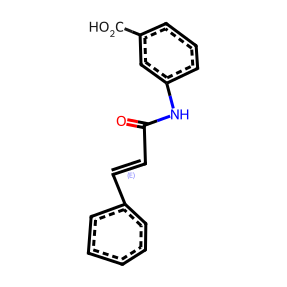 O=C(/C=C/c1ccccc1)Nc1cccc(C(=O)O)c1